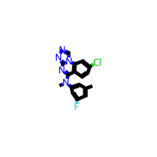 Cc1cc(F)cc(N(C)c2nc3nncn3c3cc(Cl)ccc23)c1